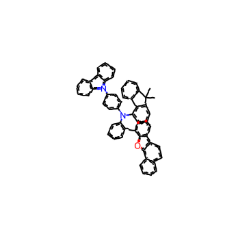 CC1(C)c2ccccc2-c2c(N(c3ccc(-n4c5ccccc5c5ccccc54)cc3)c3ccccc3-c3cccc4c3oc3c5ccccc5ccc43)cccc21